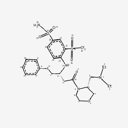 CCN(CC)C[C@@H]1COCCN1C(=O)C[C@H](CSc1ccccc1)Nc1ccc(S(N)(=O)=O)cc1S(=O)(=O)C(F)(F)F